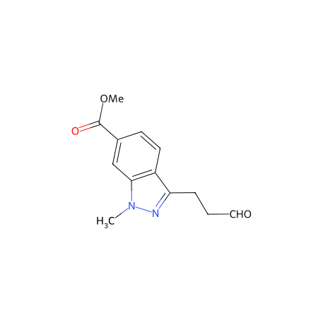 COC(=O)c1ccc2c(CCC=O)nn(C)c2c1